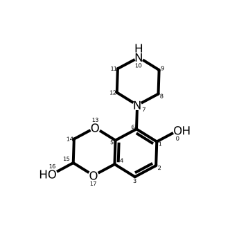 Oc1ccc2c(c1N1CCNCC1)OCC(O)O2